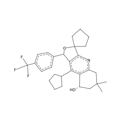 CC1(C)Cc2nc3c(c(C4CCCC4)c2[C@@H](O)C1)C(c1ccc(C(F)(F)F)cc1)OC31CCCC1